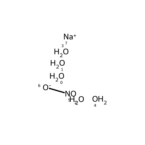 O.O.O.O.O.O=N[O-].[Na+]